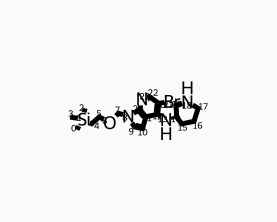 C[Si](C)(C)CCOCn1ccc2c(N[C@@H]3CCCNC3)c(Br)cnc21